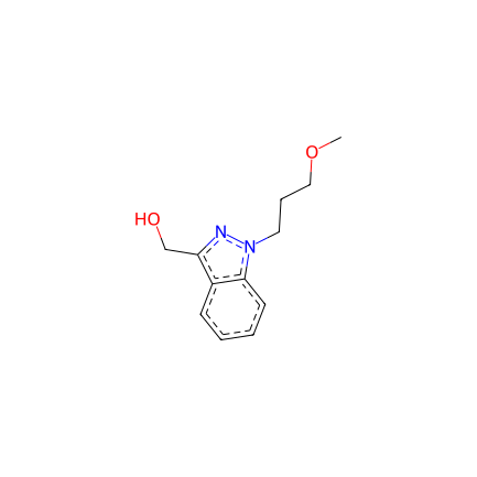 COCCCn1nc(CO)c2ccccc21